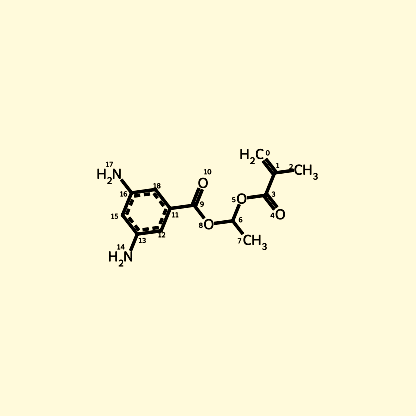 C=C(C)C(=O)OC(C)OC(=O)c1cc(N)cc(N)c1